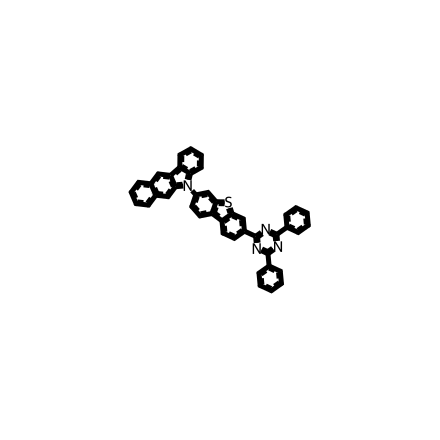 c1ccc(-c2nc(-c3ccccc3)nc(-c3ccc4c(c3)sc3cc(-n5c6ccccc6c6cc7ccccc7cc65)ccc34)n2)cc1